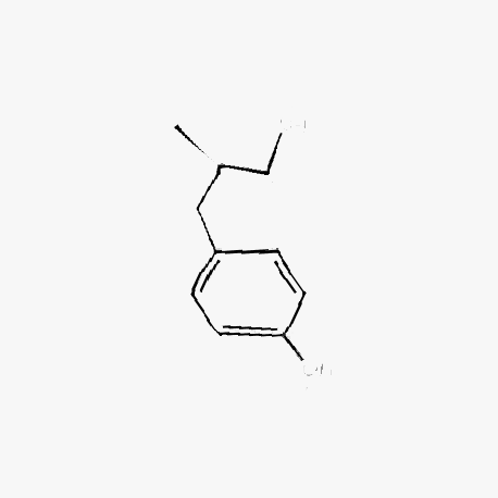 C[C@@H](CO)Cc1ccc(O)cc1